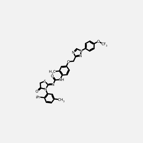 Cc1ccc(C(C)C)c(N2C(=O)CSC2=NC(=O)Nc2ccc(OCc3ncn(-c4ccc(OC(F)(F)F)cc4)n3)cc2C)c1